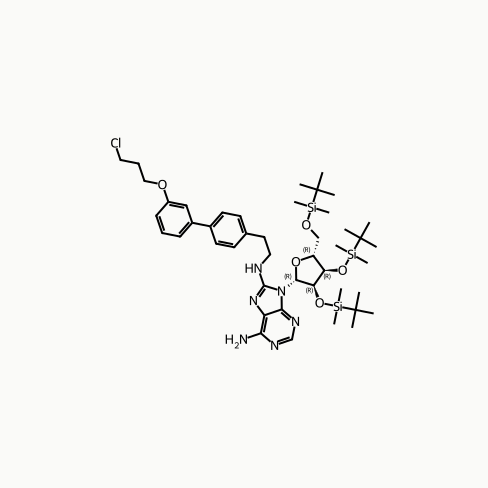 CC(C)(C)[Si](C)(C)OC[C@H]1O[C@@H](n2c(NCCc3ccc(-c4cccc(OCCCCl)c4)cc3)nc3c(N)ncnc32)[C@H](O[Si](C)(C)C(C)(C)C)[C@@H]1O[Si](C)(C)C(C)(C)C